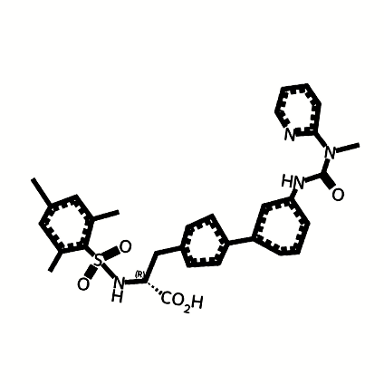 Cc1cc(C)c(S(=O)(=O)N[C@H](Cc2ccc(-c3cccc(NC(=O)N(C)c4ccccn4)c3)cc2)C(=O)O)c(C)c1